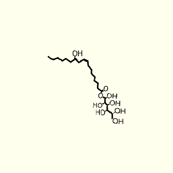 CCCCCC[C@@H](O)C/C=C\CCCCCCCC(=O)OC(O)[C@H](O)[C@@H](O)[C@H](O)[C@H](O)CO